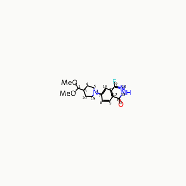 COC(OC)C1CCN(c2ccc3c(=O)[nH]nc(F)c3c2)CC1